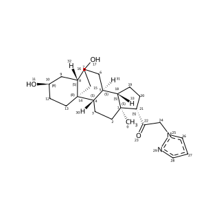 C[C@]12CC[C@H]3[C@@H](CC[C@H]4C[C@H](O)CC[C@@]43CCO)[C@@H]1CC[C@@H]2C(=O)Cn1cccn1